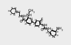 CCNc1nc(-c2ccc(NC(=O)NCc3cncc(N)c3)c(F)c2)ccc1C(=O)NCCN1CCCCC1